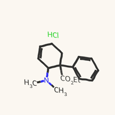 CCOC(=O)C1(c2ccccc2)CCC=CC1N(C)C.Cl